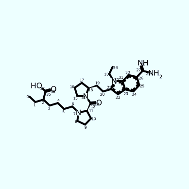 CCC(CCCCN1CCC[C@@H]1C(=O)N1CCC[C@H]1CCc1cc2ccc(C(=N)N)cc2n1CC)C(=O)O